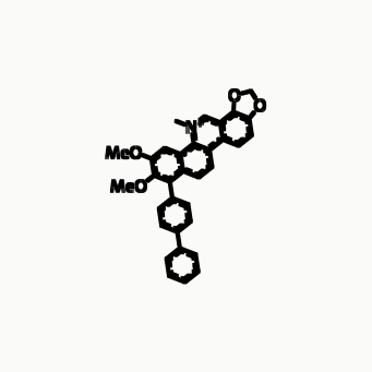 COc1cc2c(ccc3c4ccc5c(c4c[n+](C)c23)OCO5)c(-c2ccc(-c3ccccc3)cc2)c1OC